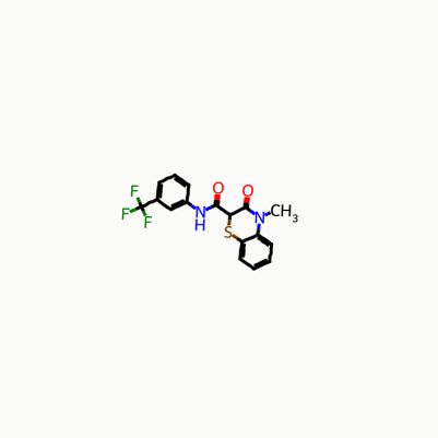 CN1C(=O)C(C(=O)Nc2cccc(C(F)(F)F)c2)Sc2ccccc21